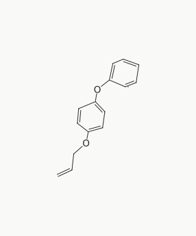 C=CCOc1ccc(Oc2[c]cccc2)cc1